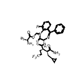 CC(C)[C@H](N)C(=O)OCN1C(=O)[C@@H](NC(=O)[C@H](CCC(F)(F)F)[C@H](CC2CC2)C(N)=O)N=C(c2ccccc2)c2cccc(F)c21